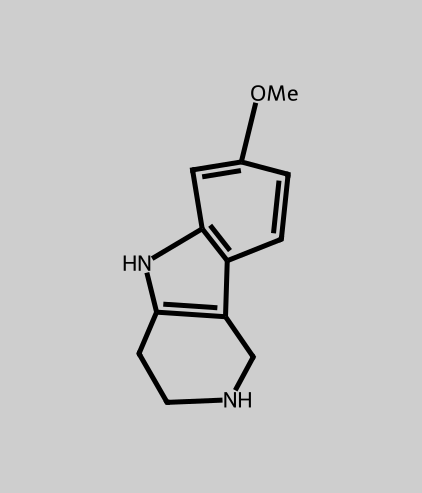 COc1ccc2c3c([nH]c2c1)CCNC3